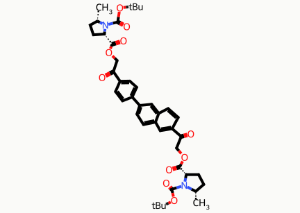 C[C@H]1CC[C@@H](C(=O)OCC(=O)c2ccc(-c3ccc4cc(C(=O)COC(=O)[C@@H]5CC[C@H](C)N5C(=O)OC(C)(C)C)ccc4c3)cc2)N1C(=O)OC(C)(C)C